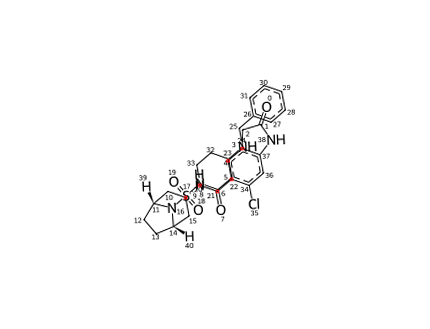 O=C1Cc2cc(C(=O)N[C@H]3C[C@H]4CC[C@@H](C3)N4S(=O)(=O)N3CCC(NCc4ccccc4)CC3)c(Cl)cc2N1